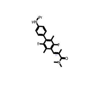 C/C(=C\c1c(C)c(F)c(-c2ccc(NC(C)C)cc2)c(C)c1F)C(=O)N(C)C